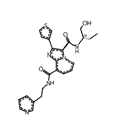 CC[C@@H](CO)NC(=O)c1c(-c2ccsc2)nc2c(C(=O)NCCc3cccnc3)cccn12